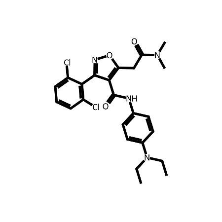 CCN(CC)c1ccc(NC(=O)c2c(-c3c(Cl)cccc3Cl)noc2CC(=O)N(C)C)cc1